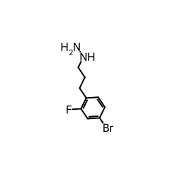 NNCCCc1ccc(Br)cc1F